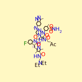 CCN(CC)CCNC(=O)c1c(C)[nH]c(/C=C2\C(=O)N(C(=O)CC[C@H](NC(=O)CCC(C)=O)C(=O)N(c3ccc(C)c(S(N)(=O)=O)c3)c3nccc(N(C)c4ccc5c(C)n(C)nc5c4)n3)c3ccc(F)cc32)c1C